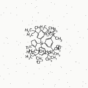 CC(C)C1=[C]([Ti+3])CC=C1[Si](c1cc(C(C)(C)C)cc(C(C)(C)C)c1)(c1cc(C(C)(C)C)cc(C(C)(C)C)c1)c1cc(C(C)(C)C)cc(C(C)(C)C)c1.[Cl-].[Cl-].[Cl-]